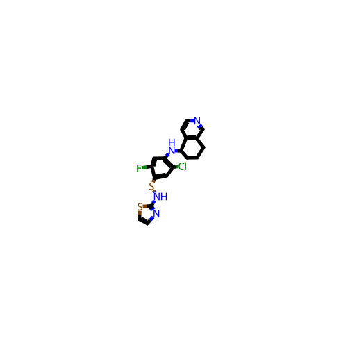 Fc1cc(NC2CCCc3cnccc32)c(Cl)cc1SNc1nccs1